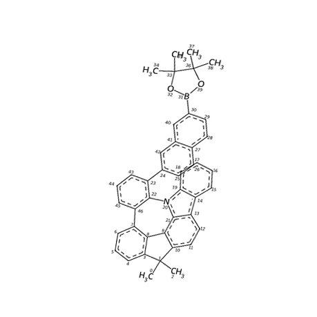 CC1(C)c2cccc3c2-c2c1ccc1c4ccccc4n(c21)-c1c(-c2ccc4ccc(B5OC(C)(C)C(C)(C)O5)cc4c2)cccc1-3